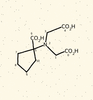 O=C(O)CN(CC(=O)O)C1(C(=O)O)CCCC1